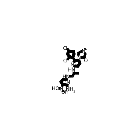 CC(CNc1ccc(N(O)O)c(N)n1)Nc1ccc(N2CCN(C)CC2=O)c(-c2ccc(Cl)cc2Cl)n1